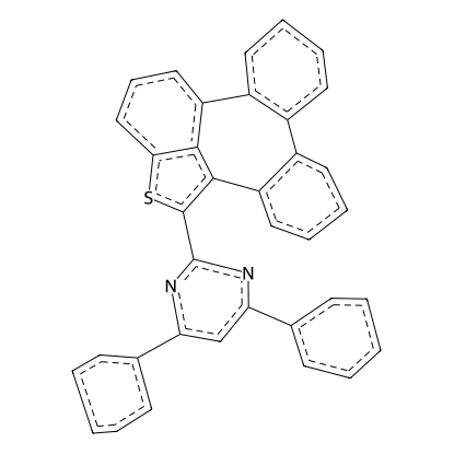 c1ccc(-c2cc(-c3ccccc3)nc(-c3sc4cccc5c4c3-c3ccccc3-c3ccccc3-5)n2)cc1